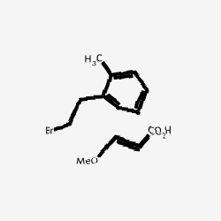 COC=CC(=O)O.Cc1ccccc1CCBr